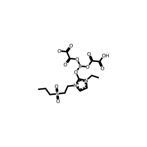 CCCS(=O)(=O)CC[n+]1ccn(CC)c1OB(OC(=O)C(=O)[O-])OC(=O)C(=O)O